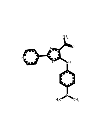 CN(C)c1ccc(Nc2sc(-c3ccncc3)nc2C(N)=O)cc1